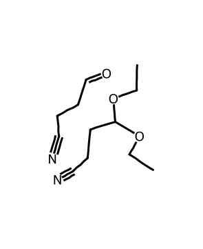 CCOC(CCC#N)OCC.N#CCCC=O